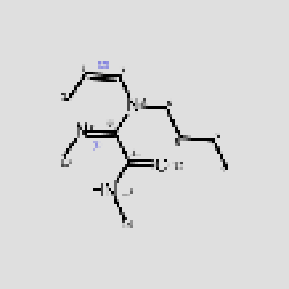 C/C=C\N(CCCC)/C(=N/C)C(=O)NC